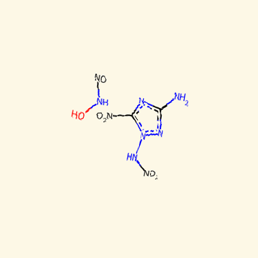 Nc1nc([N+](=O)[O-])n(N[N+](=O)[O-])n1.O=NNO